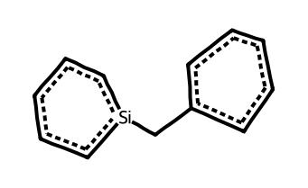 c1ccc(C[si]2ccccc2)cc1